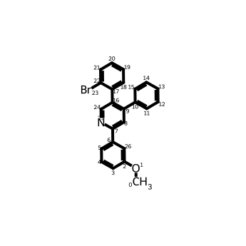 COc1cccc(-c2cc(-c3ccccc3)c(-c3ccccc3Br)cn2)c1